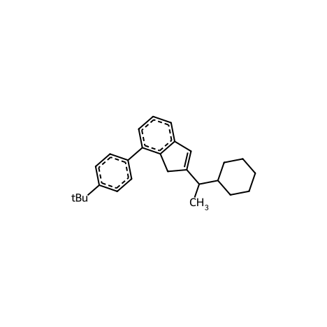 CC(C1=Cc2cccc(-c3ccc(C(C)(C)C)cc3)c2C1)C1CCCCC1